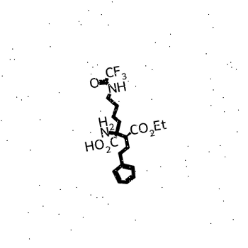 CCOC(=O)[C@@H](CCc1ccccc1)[C@](N)(CCCCNC(=O)C(F)(F)F)C(=O)O